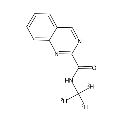 [2H]C([2H])([2H])NC(=O)c1ncc2ccccc2n1